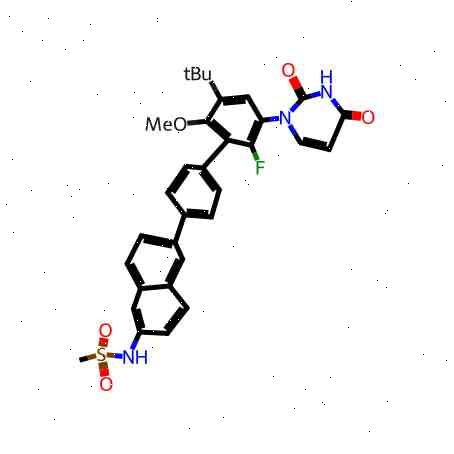 COc1c(C(C)(C)C)cc(-n2ccc(=O)[nH]c2=O)c(F)c1-c1ccc(-c2ccc3cc(NS(C)(=O)=O)ccc3c2)cc1